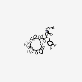 CCCCC/C=C/C(=O)N[C@@H](Cc1ccc(F)c(F)c1)C(=O)N[C@H]1COC(=O)[C@@H]2CCCN2C(=O)[C@H](C)NC(=O)[C@H](C)N(C)C(=O)[C@@H]2CCCN2C1=O